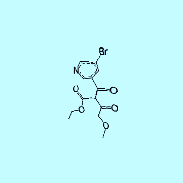 CCOC(=O)C(C(=O)COC)C(=O)c1cncc(Br)c1